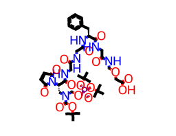 CC(C)(C)OC(=O)N(COP(=O)(OC(C)(C)C)OC(C)(C)C)C[C@@H](C(=O)NCC(=O)NCC(=O)N[C@@H](Cc1ccccc1)C(=O)NCC(=O)NCOCC(=O)O)N1C(=O)C=CC1=O